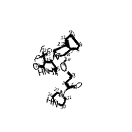 O=C(CCOC[C@H]1c2ccccc2CN1c1cn[nH]c(=O)c1C(F)(F)F)N1CCNCC1